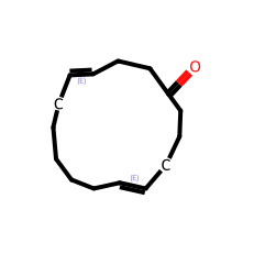 O=C1CC/C=C/CCCCC/C=C/CCC1